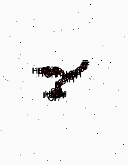 O=C(CCOCCOCCn1cc(COCCOCCS[C@](O)(C[C@H](O)[C@H](C[C@H](O)CCO)NC(=O)CO)C(=O)O)nn1)NCCCC[C@@H](CNCC(=O)NCCOCCOCCOCCOCCC(=O)Oc1c(F)c(F)c(F)c(F)c1F)NC(=O)CCCNCCCOCCOCCn1cc(COCCOCCS[C@](O)(CC[C@H](C[C@H](O)CCO)NC(=O)CO)C(=O)O)nn1